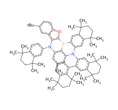 Cc1cc2c3c(c1)N(c1ccc4c(c1)C(C)(C)CCC4(C)C)c1c(oc4ccc(C(C)(C)C)cc14)B3c1cc3c(cc1N2c1cc2c(cc1-c1cccc4c1C(C)(C)CCC4(C)C)C(C)(C)CCC2(C)C)C(C)(C)CCC3(C)C